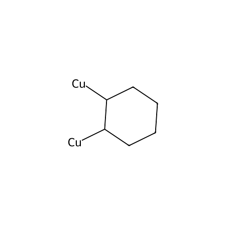 [Cu][CH]1CCCC[CH]1[Cu]